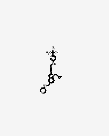 CC(C)(C#N)c1ccc(NCC#Cc2cc3cc(CNC4CCOCC4)ccc3n2CC2CC2)cn1